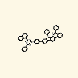 c1ccc(-c2nc(-c3ccc(-c4ccc5c6ccc7c8ccccc8c(-c8ccccc8)nc7c6n(-c6ccccc6)c5c4)cc3)cc(-c3cccc4ccccc34)n2)cc1